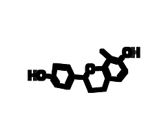 Cc1c(O)ccc2c1OC(c1ccc(O)cc1)CC2